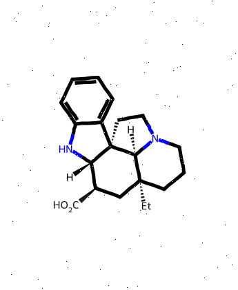 CC[C@]12CCCN3CC[C@]4(c5ccccc5N[C@H]4[C@H](C(=O)O)C1)[C@@H]32